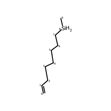 C=CCCCCCC[SiH2]C